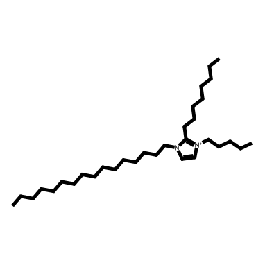 CCCCCCCCCCCCCCCCn1cc[n+](CCCCC)c1CCCCCCCC